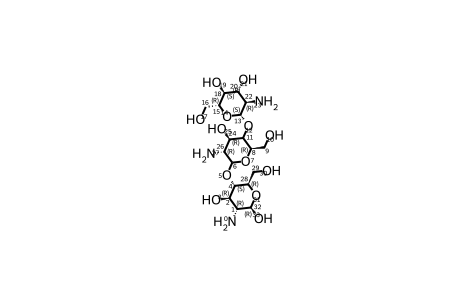 N[C@@H]1[C@@H](O)[C@H](OC2O[C@H](CO)C(O[C@@H]3O[C@H](CO)[C@@H](O)[C@H](O)[C@H]3N)[C@H](O)[C@H]2N)[C@@H](CO)O[C@H]1O